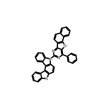 c1ccc(-c2nc(-n3c4ccccc4c4c5c(ccc43)sc3ccccc35)nc3c2oc2c4ccccc4ccc32)cc1